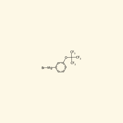 FC(F)(F)C(Oc1ccc[c]([Mg][Br])c1)(C(F)(F)F)C(F)(F)F